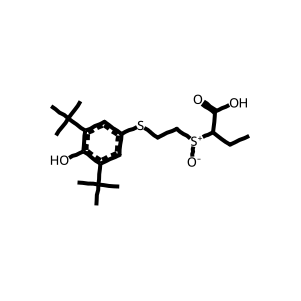 CCC(C(=O)O)[S+]([O-])CCSc1cc(C(C)(C)C)c(O)c(C(C)(C)C)c1